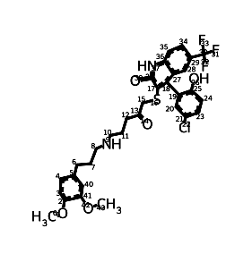 COc1ccc(CCCNCCCC(=O)CSc2c(-c3cc(Cl)ccc3O)c3cc(C(F)(F)F)ccc3[nH]c2=O)cc1OC